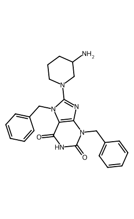 NC1CCCN(c2nc3c(c(=O)[nH]c(=O)n3Cc3ccccc3)n2Cc2ccccc2)C1